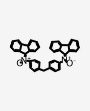 [O-][N+](=C1c2ccccc2-c2ccccc21)c1ccc(Cc2ccc([N+]([O-])=C3c4ccccc4-c4ccccc43)cc2)cc1